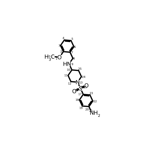 COc1ccccc1CNC1CCN(S(=O)(=O)c2ccc(N)cc2)CC1